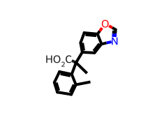 Cc1ccccc1C(C)(C(=O)O)c1ccc2ocnc2c1